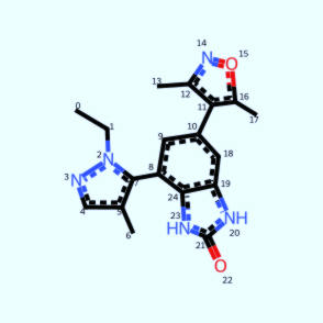 CCn1ncc(C)c1-c1cc(-c2c(C)noc2C)cc2[nH]c(=O)[nH]c12